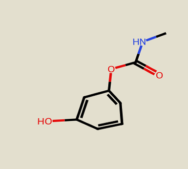 CNC(=O)Oc1cccc(O)c1